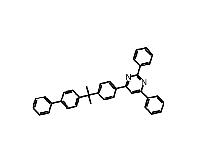 CC(C)(c1ccc(-c2ccccc2)cc1)c1ccc(-c2cc(-c3ccccc3)nc(-c3ccccc3)n2)cc1